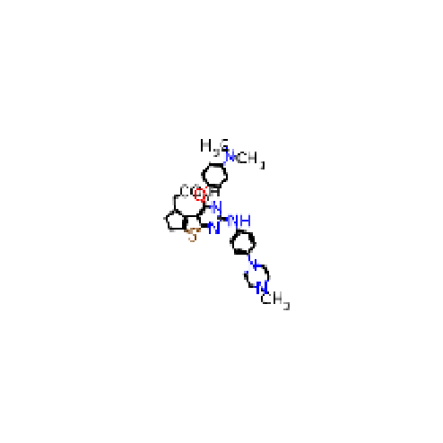 CN1CCN(c2ccc(Nc3nc(O[C@H]4CC[C@H](N(C)C)CC4)c4c5c(sc4n3)CCC5CC(=O)O)cc2)CC1